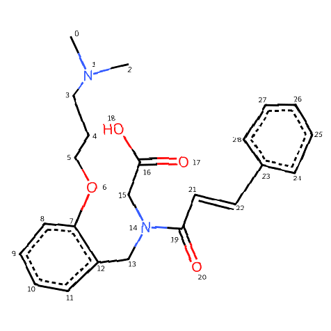 CN(C)CCCOc1ccccc1CN(CC(=O)O)C(=O)C=Cc1ccccc1